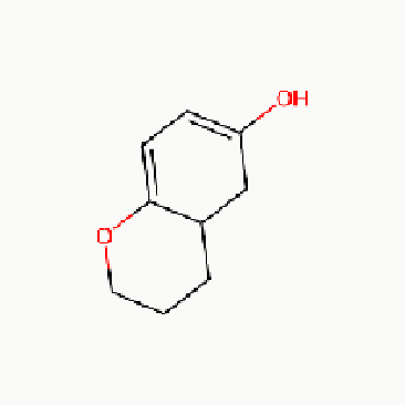 OC1=CC=C2OCCCC2C1